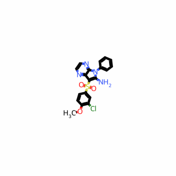 COc1ccc(S(=O)(=O)c2c(N)n(-c3ccccc3)c3nccnc23)cc1Cl